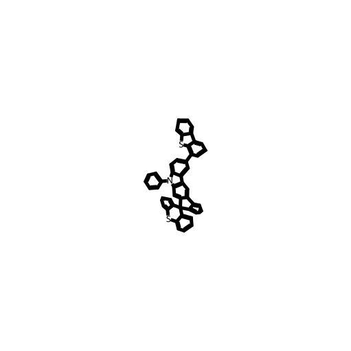 c1ccc(-n2c3ccc(-c4cccc5c4sc4ccccc45)cc3c3cc4c(cc32)C2(c3ccccc3Sc3ccccc32)c2ccccc2-4)cc1